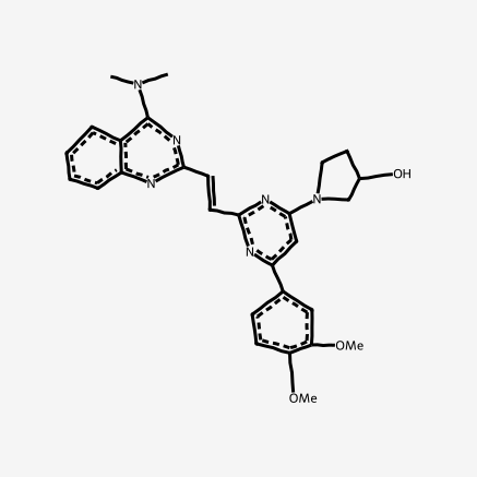 COc1ccc(-c2cc(N3CCC(O)C3)nc(C=Cc3nc(N(C)C)c4ccccc4n3)n2)cc1OC